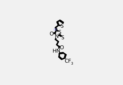 O=C(CCCN1C(=O)/C(=C/c2cccs2)SC1=S)Nc1ccc(C(F)(F)F)cc1